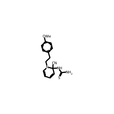 COc1ccc(CCN2C=CC=CC2(C#N)NC(N)=S)cc1